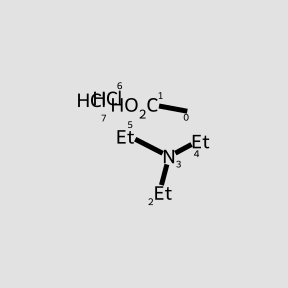 CC(=O)O.CCN(CC)CC.Cl.Cl